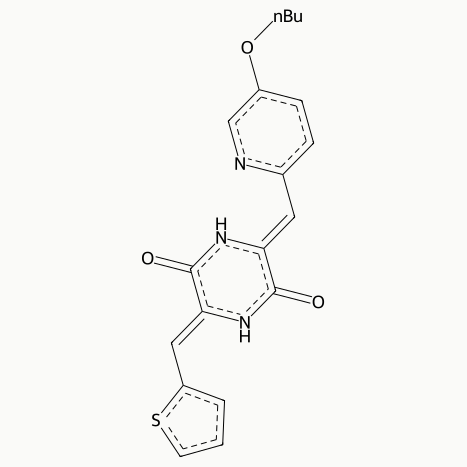 CCCCOc1ccc(C=c2[nH]c(=O)c(=Cc3cccs3)[nH]c2=O)nc1